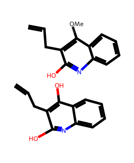 C=CCc1c(O)nc2ccccc2c1O.C=CCc1c(O)nc2ccccc2c1OC